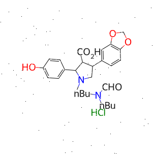 CCCCN(C=O)CCCC.CN1CC(c2ccc3c(c2)OCO3)C(C(=O)O)C1c1ccc(O)cc1.Cl